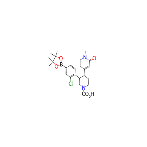 Cn1ccc(C2CCN(C(=O)O)CC2c2ccc(B3OC(C)(C)C(C)(C)O3)cc2Cl)cc1=O